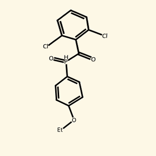 CCOc1ccc([PH](=O)C(=O)c2c(Cl)cccc2Cl)cc1